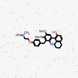 CCCN(C)CCOc1ccc(Cc2c(N)c(-c3c(O)ccc4c3CCCC4)cc(OC)c2OC)cc1